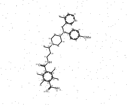 COc1ccc(N(Cc2cnccc2C)C2CCN(C(C)CCNC(=O)c3c(C)c(C)c(C(N)=O)c(C)c3C)CC2)cc1